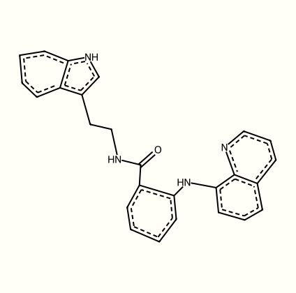 O=C(NCCc1c[nH]c2ccccc12)c1ccccc1Nc1cccc2cccnc12